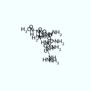 CC(=O)NCCCNC(=O)Nc1cccc(NC(=O)c2cc(C(=O)Nc3cccc(NC(=O)CCCCNC(=N)N)c3SCCN)c(OCCN)cc2OCCN)c1SCCN